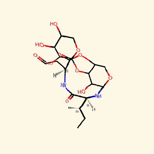 CC[C@H](C)[C@@H]1NC2OCC(OC(=O)[C@H](CC=O)NC1=O)C(OC1OCC(O)C(O)C1O)C2O